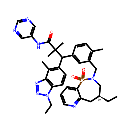 CC[C@H]1Cc2ncccc2S(=O)(=O)N(Cc2cc(C(c3ccc4c(nnn4CC)c3C)C(C)(C)C(=O)Nc3cncnc3)ccc2C)C1